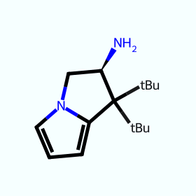 CC(C)(C)C1(C(C)(C)C)c2cccn2C[C@H]1N